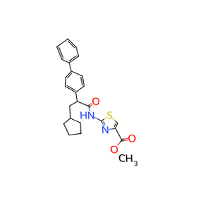 COC(=O)c1csc(NC(=O)C(CC2CCCC2)c2ccc(-c3ccccc3)cc2)n1